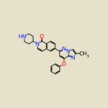 Cc1cn2nc(-c3ccc4c(=O)n(C5CCNCC5)ccc4c3)cc(Oc3ccccc3)c2n1